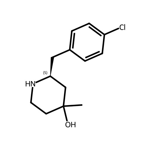 CC1(O)CCN[C@@H](Cc2ccc(Cl)cc2)C1